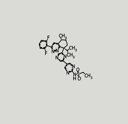 CCS(=O)(=O)Nc1ncc(-c2cncc([C@@]3(C(C)C)CC[C@H](C)c4cc(-c5c(F)cccc5F)nnc43)n2)cn1